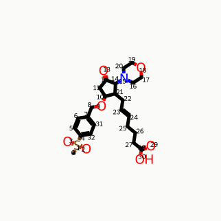 CS(=O)(=O)c1ccc(COC2CC(=O)C(N3CCOCC3)C2CC=CCCCC(=O)O)cc1